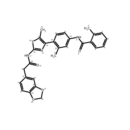 Cc1ccccc1C(=O)Nc1ccc(-c2nc(NC(=O)Cc3ccc4c(c3)OCO4)sc2C)c(C)c1